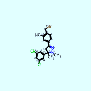 CN1N=C(c2ccc(CBr)c(C#N)c2)CC1(c1cc(Cl)cc(Cl)c1)C(F)(F)F